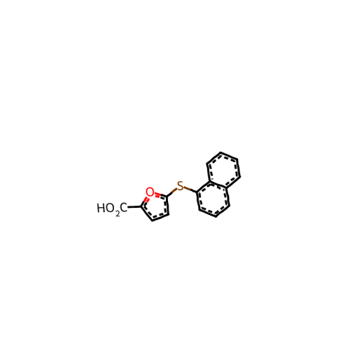 O=C(O)c1ccc(Sc2cccc3ccccc23)o1